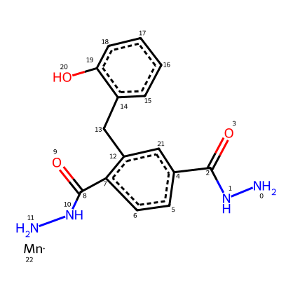 NNC(=O)c1ccc(C(=O)NN)c(Cc2ccccc2O)c1.[Mn]